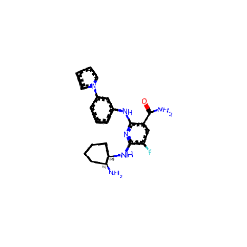 NC(=O)c1cc(F)c(N[C@@H]2CCCC[C@@H]2N)nc1Nc1cccc(-n2cccc2)c1